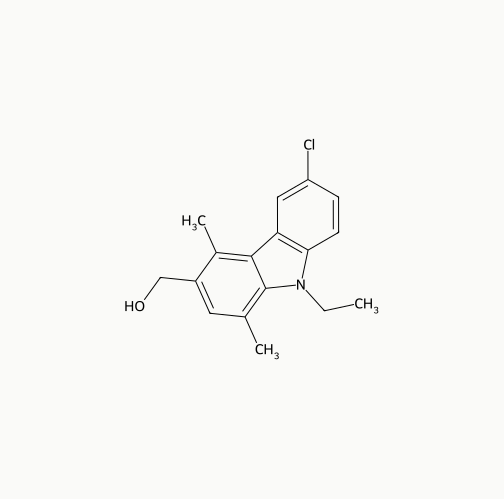 CCn1c2ccc(Cl)cc2c2c(C)c(CO)cc(C)c21